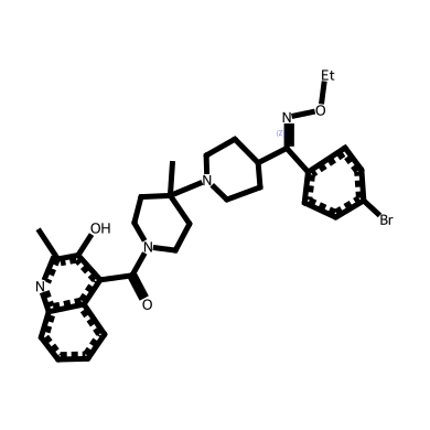 CCO/N=C(\c1ccc(Br)cc1)C1CCN(C2(C)CCN(C(=O)c3c(O)c(C)nc4ccccc34)CC2)CC1